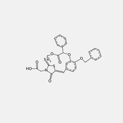 COC(=O)C(Oc1cc(C=C2SC(=S)N(CC(=O)O)C2=O)ccc1OCc1ccccc1)c1ccccc1